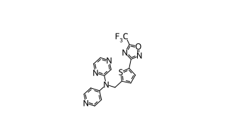 FC(F)(F)c1nc(-c2ccc(CN(c3ccncc3)c3cnccn3)s2)no1